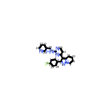 Fc1ccc(-c2nn3ccccc3c2-c2ccnc(NCc3cccnc3)n2)cc1